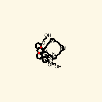 OCCOc1ccccc1-c1c(-c2ccccc2OCCO)c2c(-c3ccccc3OCCO)c3nc(cc4ccc(cc5nc(cc1n2-c1ccccc1OCCO)C=C5)[nH]4)C=C3